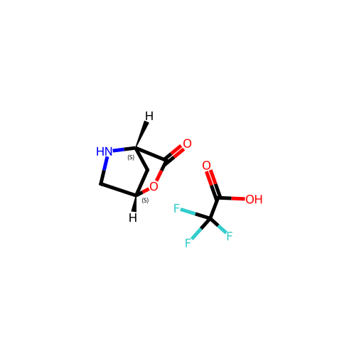 O=C(O)C(F)(F)F.O=C1O[C@@H]2CN[C@H]1C2